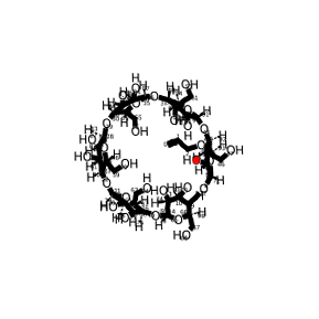 C=CCO[C@@H]1[C@@H](O)[C@H]2O[C@H]3[C@H](O)[C@@H](O)[C@@H](O[C@H]4[C@H](O)[C@@H](O)[C@@H](O[C@H]5[C@H](O)[C@@H](O)[C@@H](O[C@H]6[C@H](O)[C@@H](O)[C@@H](O[C@H]7[C@H](O)[C@@H](O)[C@@H](O[C@H]1[C@@H](CO)O2)O[C@@H]7CO)O[C@@H]6CO)O[C@@H]5CO)O[C@@H]4CO)O[C@@H]3CO